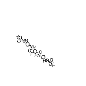 CC(C)(C)OC(=O)NCc1ccc(NC(=O)c2ccc(C(=O)Nc3ccc(CNC(=O)OC(C)(C)C)cc3)c(F)c2)cc1